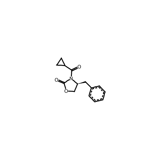 O=C1OC[C@H](Cc2ccccc2)N1C(=O)C1CC1